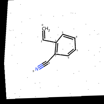 C=Cc1ccc[c]c1C#N